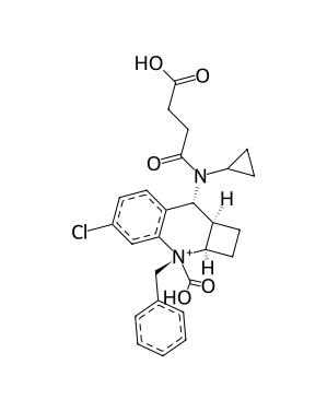 O=C(O)CCC(=O)N(C1CC1)[C@H]1c2ccc(Cl)cc2[N@@+](Cc2ccccc2)(C(=O)O)[C@@H]2CC[C@@H]21